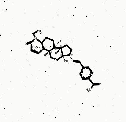 CCN1C(=O)C=C[C@@]2(C)C1CC[C@H]1[C@@H]3CC[C@H](C=Cc4ccc(C(N)=O)cc4)[C@@]3(C)CC[C@@H]12